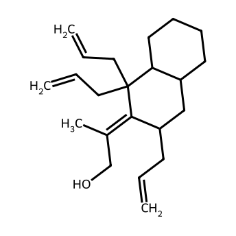 C=CCC1CC2CCCCC2C(CC=C)(CC=C)C1=C(C)CO